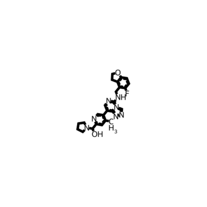 Cc1cc(C(O)N2CCCC2)ncc1-c1cnc(NCc2c(F)ccc3c2CCO3)n2cnnc12